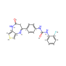 O=C1CC(c2ccc(NC(=O)Nc3ccccc3F)cc2)=Nc2cscc2N1